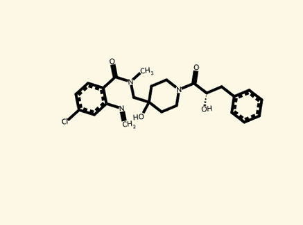 C=Nc1cc(Cl)ccc1C(=O)N(C)CC1(O)CCN(C(=O)[C@@H](O)Cc2ccccc2)CC1